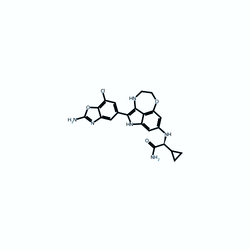 NC(=O)[C@@H](Nc1cc2c3c(c(-c4cc(Cl)c5oc(N)nc5c4)[nH]c3c1)NCCO2)C1CC1